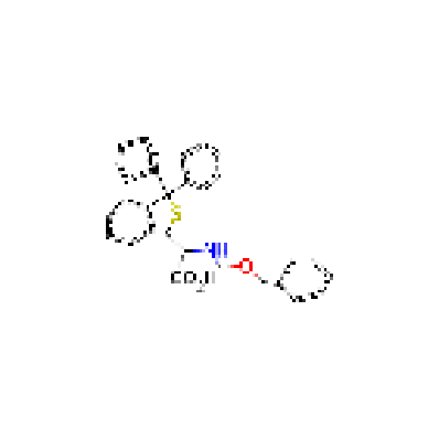 O=C(O)[C@H](CSC(c1ccccc1)(c1ccccc1)c1ccccc1)NCOCc1ccccc1